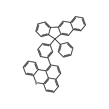 c1ccc(C2(c3cccc(-c4ccc5cccc6c5c4-c4ccccc4S6)c3)c3ccccc3-c3cc4ccccc4cc32)cc1